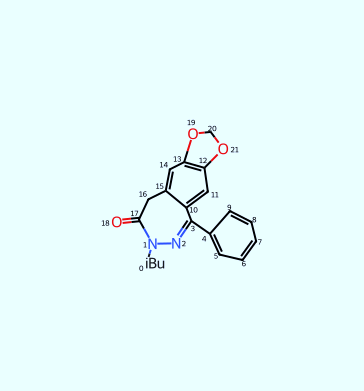 CCC(C)N1N=C(c2ccccc2)c2cc3c(cc2CC1=O)OCO3